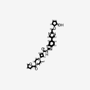 C[C@H]1CN(C(=O)C2CCCO2)CCN1[C@H]1C[C@@H](C(=O)Nc2nc3ccc(-c4cnc(CO[C@H]5CCC[C@@H]5O)nc4)cc3s2)C1